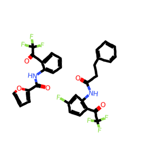 O=C(CCc1ccccc1)Nc1cc(F)ccc1C(=O)C(F)(F)F.O=C(Nc1ccccc1C(=O)C(F)(F)F)c1ccco1